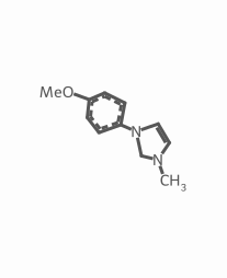 COc1ccc(N2C=CN(C)C2)cc1